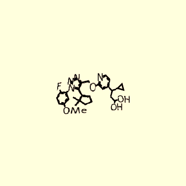 COc1ccc(F)c(-n2nnc(COc3cc(C(CC(O)O)C4CC4)ccn3)c2C2=CCCC2(C)C)c1